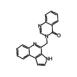 O=c1c2ccccc2ncn1Cc1nc2ccccc2c2cc[nH]c12